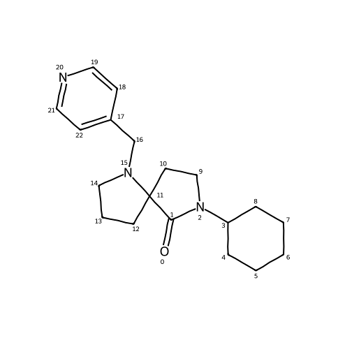 O=C1N(C2CCCCC2)CCC12CCCN2Cc1ccncc1